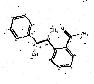 C[C@H](c1ccccc1C(N)=O)[C@H](O)c1ccccc1